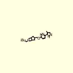 CCC(C)CN1CC2CC(COc3ccc(-c4c(C)cnn4C)nn3)CC2C1